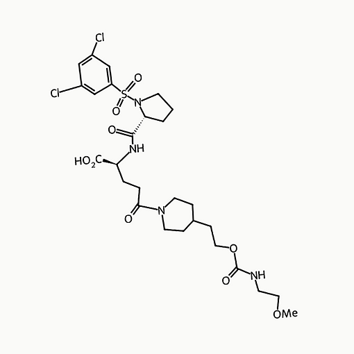 COCCNC(=O)OCCC1CCN(C(=O)CC[C@H](NC(=O)[C@H]2CCCN2S(=O)(=O)c2cc(Cl)cc(Cl)c2)C(=O)O)CC1